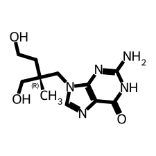 C[C@@](CO)(CCO)Cn1cnc2c(=O)[nH]c(N)nc21